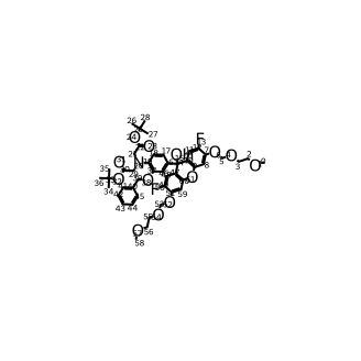 COCCOCOc1cc2c(cc1F)C(O)(c1ccc(N(CC(=O)OC(C)(C)C)CC(=O)OC(C)(C)C)c(OCc3ccccc3)c1)c1cc(F)c(OCOCCOC)cc1O2